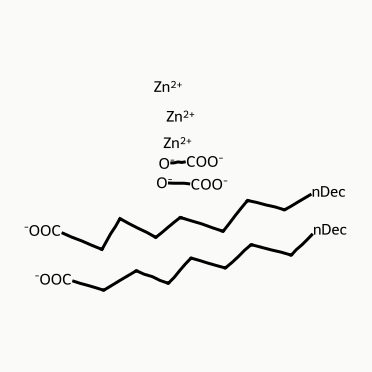 CCCCCCCCCCCCCCCCCC(=O)[O-].CCCCCCCCCCCCCCCCCC(=O)[O-].O=C([O-])[O-].O=C([O-])[O-].[Zn+2].[Zn+2].[Zn+2]